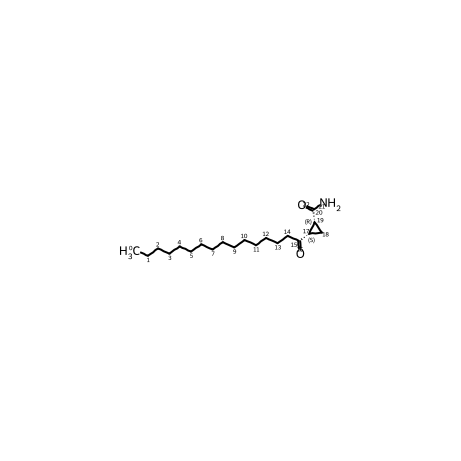 CCCCCCCCCCCCCCCC(=O)[C@H]1C[C@H]1C(N)=O